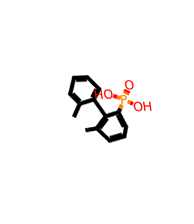 Cc1ccccc1-c1c(C)cccc1P(=O)(O)O